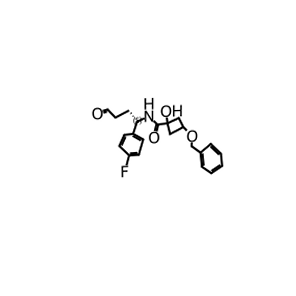 O=CCC[C@H](NC(=O)C1(O)CC(OCc2ccccc2)C1)c1ccc(F)cc1